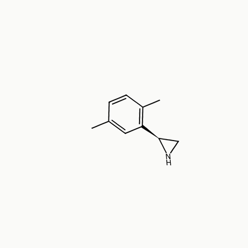 Cc1ccc(C)c([C@H]2CN2)c1